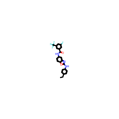 CCc1ccc(Nc2nc3cc(NC(=O)c4cc(F)cc(C(F)(F)F)c4)ccc3o2)cc1